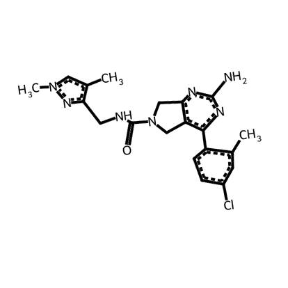 Cc1cc(Cl)ccc1-c1nc(N)nc2c1CN(C(=O)NCc1nn(C)cc1C)C2